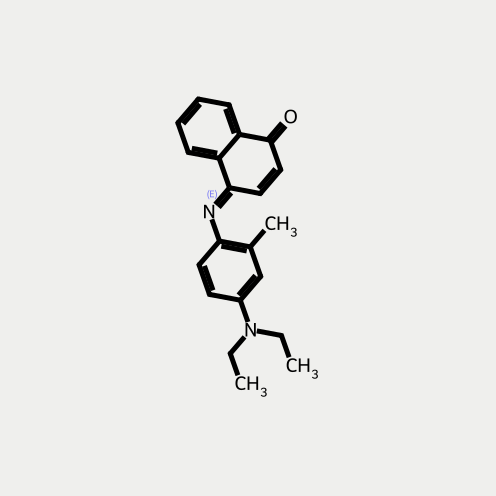 CCN(CC)c1ccc(/N=C2\C=CC(=O)c3ccccc32)c(C)c1